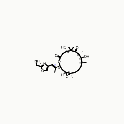 C[C@H]1CCC[C@@]2(C)O[C@H]2C[C@@H](/C(F)=C/c2coc(CN)n2)OC(=O)C[C@H](O)C(C)(C)C(=O)[C@H](C)[C@H]1O